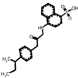 CCC(C)c1ccc(CC(=O)CNc2ccc(S(=O)(=O)O)c3ccccc23)cc1